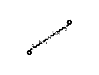 O=C(CCSSCCC(=O)NCCCCCC(=O)OCc1ccccc1)NCCCCCC(=O)OCc1ccccc1